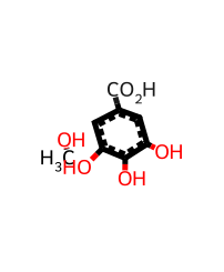 CO.O=C(O)c1cc(O)c(O)c(O)c1